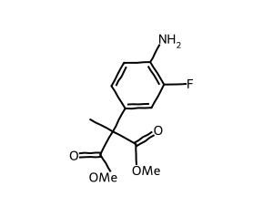 COC(=O)C(C)(C(=O)OC)c1ccc(N)c(F)c1